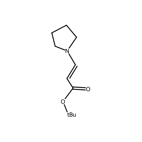 CC(C)(C)OC(=O)/C=C/N1CCCC1